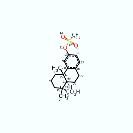 C[C@]1(C(=O)O)CCC[C@]2(C)c3cc(OS(=O)(=O)C(F)(F)F)ccc3CC[C@@H]12